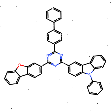 c1ccc(-c2ccc(-c3nc(-c4ccc5c(c4)oc4ccccc45)nc(-c4ccc5c(c4)c4ccccc4n5-c4ccccc4)n3)cc2)cc1